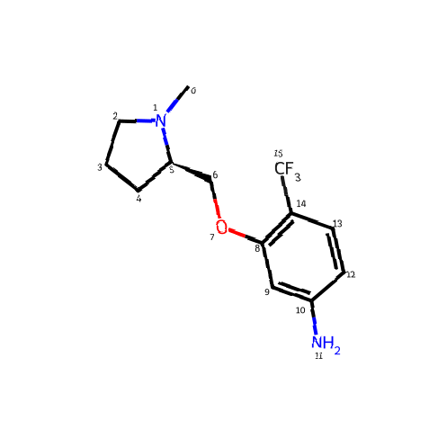 CN1CCC[C@@H]1COc1cc(N)ccc1C(F)(F)F